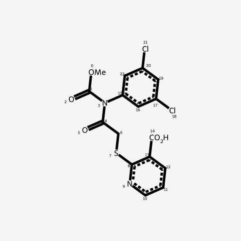 COC(=O)N(C(=O)CSc1ncccc1C(=O)O)c1cc(Cl)cc(Cl)c1